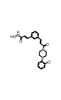 O=C(/C=C/c1cccc(/C=C/C(=O)N2CCN(c3ccccc3Cl)CC2)c1)NO